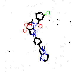 CC(C)N(C(=O)c1cccc(Cl)c1)c1nn(-c2ccc(-c3cc4ncccn4n3)cc2)cc1C(=O)O